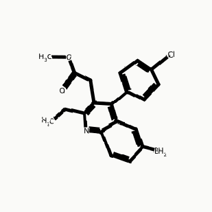 Bc1ccc2nc(CC)c(CC(=O)OC)c(-c3ccc(Cl)cc3)c2c1